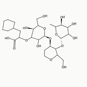 CC1O[C@@H](OC2C(CO)OCC[C@H]2O[C@@H]2OC(CO)[C@H](O)C(OC(CC3CCCCC3)C(=O)O)C2O)C(O)C(O)[C@@H]1O